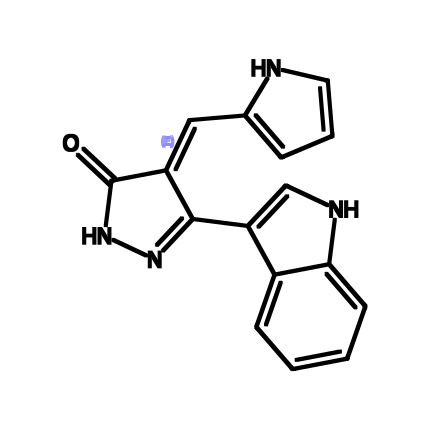 O=C1NN=C(c2c[nH]c3ccccc23)/C1=C\c1ccc[nH]1